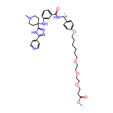 COC(=O)CCOCCOCCOCCCCCCOc1ccc([C@@H](C)NC(=O)c2cccc(NC3(c4nnc(-c5ccncc5)[nH]4)CCN(C)CC3)c2)cc1